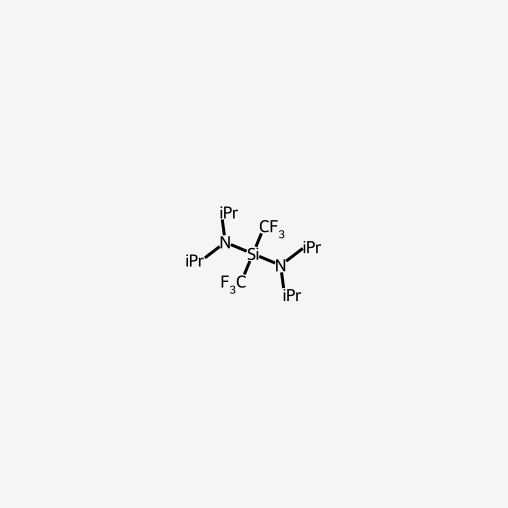 CC(C)N(C(C)C)[Si](N(C(C)C)C(C)C)(C(F)(F)F)C(F)(F)F